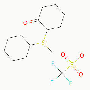 C[S+](C1CCCCC1)C1CCCCC1=O.O=S(=O)([O-])C(F)(F)F